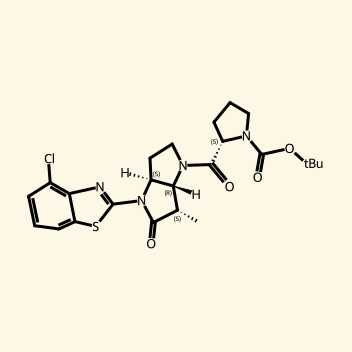 C[C@@H]1C(=O)N(c2nc3c(Cl)cccc3s2)[C@H]2CCN(C(=O)[C@@H]3CCCN3C(=O)OC(C)(C)C)[C@H]12